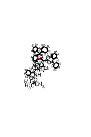 CC(C)(C)OC(=O)NC(C(=O)N[C@@H]1C(=O)N2C(C(=O)OC(c3ccccc3)c3ccccc3)=C(SC(c3ccccc3)(c3ccccc3)c3ccccc3)C[S+]([O-])[C@H]12)c1ccccc1